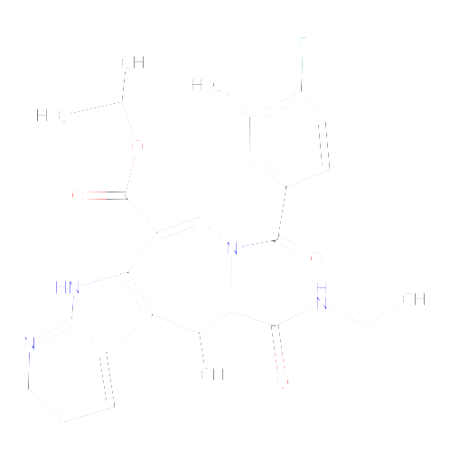 CCNC(=O)C1C(C)c2c([nH]c3ncccc23)C(C(=O)OC(C)C)=CN1C(=O)c1ccc(F)c(C)c1